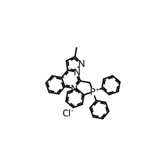 Cc1cc2c3ccccc3nc(C[P+](c3ccccc3)(c3ccccc3)c3ccccc3)n2n1.[Cl-]